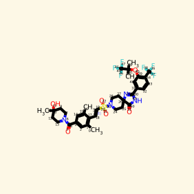 Cc1cc(C(=O)N2CCC(C)(O)CC2)cc(C)c1/C=C/S(=O)(=O)N1CCC2(CC1)N=C(c1ccc(C(F)(F)F)c(OC(C)(C)C(F)(F)F)c1)NC2=O